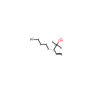 C=C[C@H](CCCCC(C)C)C(C)(C)O